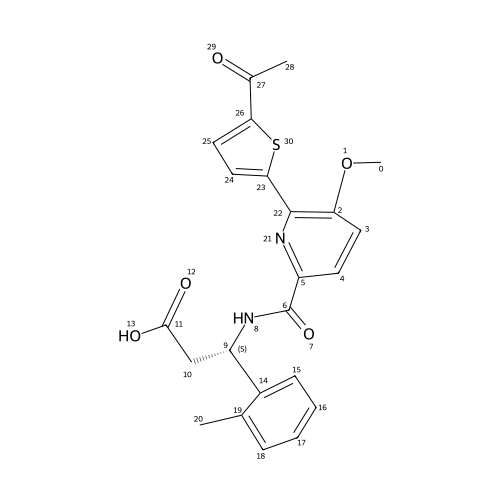 COc1ccc(C(=O)N[C@@H](CC(=O)O)c2ccccc2C)nc1-c1ccc(C(C)=O)s1